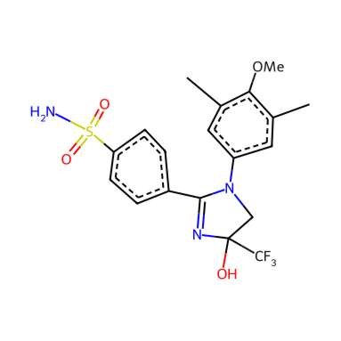 COc1c(C)cc(N2CC(O)(C(F)(F)F)N=C2c2ccc(S(N)(=O)=O)cc2)cc1C